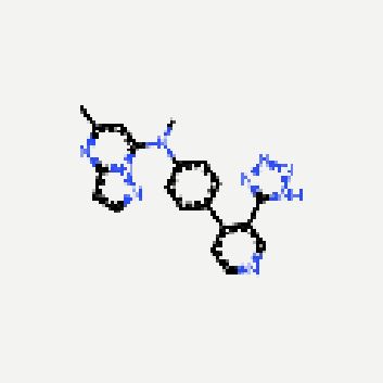 Cc1cc(N(C)c2ccc(-c3ccncc3-c3nnn[nH]3)cc2)n2nccc2n1